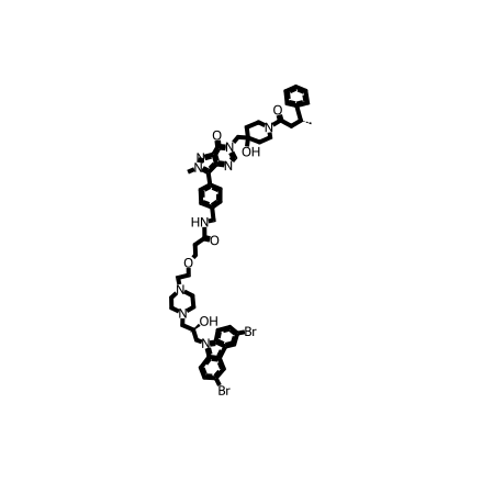 C[C@H](CC(=O)N1CCC(O)(Cn2cnc3c(-c4ccc(CNC(=O)CCOCCN5CCN(C[C@@H](O)Cn6c7ccc(Br)cc7c7cc(Br)ccc76)CC5)cc4)n(C)nc3c2=O)CC1)c1ccccc1